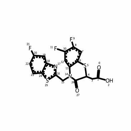 O=C(O)CC1Sc2cc(F)c(F)cc2N(Cc2nc3cc(F)ccc3s2)C1=O